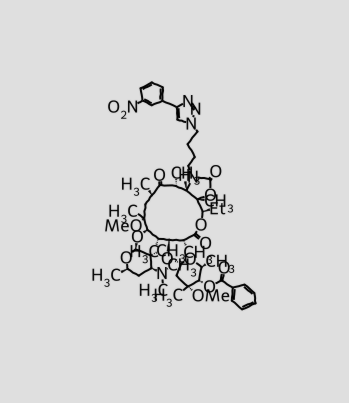 CC[C@H]1OC(=O)[C@H](C)[C@@H](O[C@H]2C[C@@](C)(OC)[C@@H](OC(=O)c3ccccc3)[C@H](C)O2)[C@H](C)[C@@H](O[C@@H]2O[C@H](C)C[C@H](N(C)C)[C@H]2C)[C@@](C)(OC)C[C@@H](C)C(=O)[C@H](C)[C@@H]2N(CCCCn3cc(-c4cccc([N+](=O)[O-])c4)nn3)C(=O)O[C@@]21C